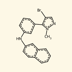 Cn1ncc(Br)c1-c1cccc(Nc2ccc3ccccc3c2)c1